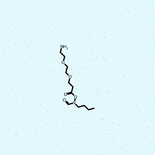 CCCCN(C=O)OC(=O)CCOCCOCCN